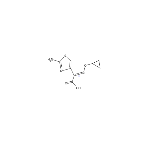 Nc1nc(/C(=N\OC2CC2)C(=O)O)cs1